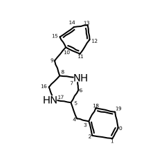 c1ccc(CC2CNC(Cc3ccccc3)CN2)cc1